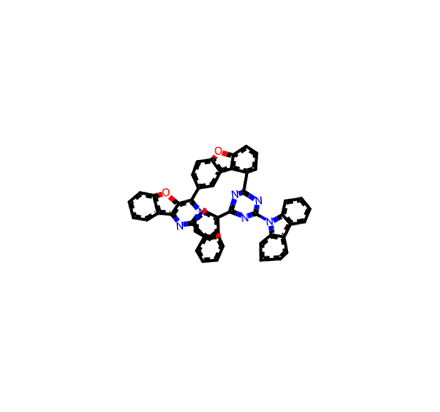 c1ccc(-c2nc(-c3cccc4oc5ccc(-c6nc(-c7ccccc7)nc7c6oc6ccccc67)cc5c34)nc(-n3c4ccccc4c4ccccc43)n2)cc1